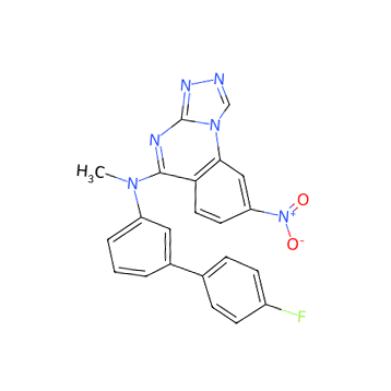 CN(c1cccc(-c2ccc(F)cc2)c1)c1nc2nncn2c2cc([N+](=O)[O-])ccc12